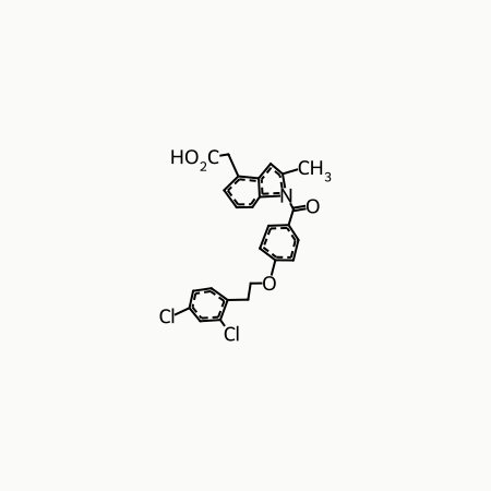 Cc1cc2c(CC(=O)O)cccc2n1C(=O)c1ccc(OCCc2ccc(Cl)cc2Cl)cc1